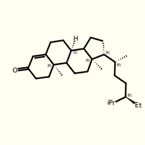 CC[C@H](CC[C@@H](C)[C@H]1CCC2[C@@H]3CCC4=CC(=O)CC[C@]4(C)C3CC[C@@]21C)C(C)C